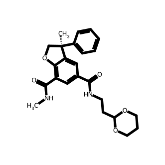 CNC(=O)c1cc(C(=O)NCCC2OCCCO2)cc2c1OC[C@@]2(C)c1ccccc1